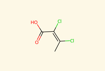 C/C(Cl)=C(/Cl)C(=O)O